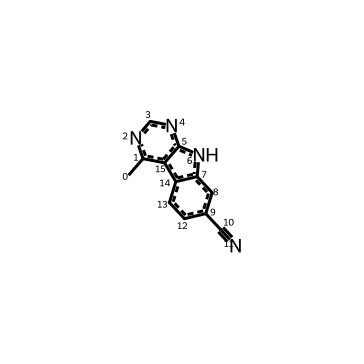 Cc1ncnc2[nH]c3cc(C#N)ccc3c12